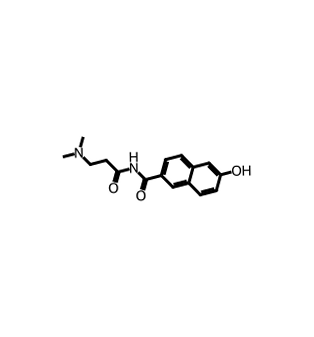 CN(C)CCC(=O)NC(=O)c1ccc2cc(O)ccc2c1